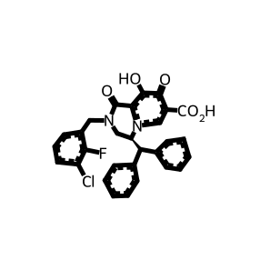 O=C(O)c1cn2c(c(O)c1=O)C(=O)N(Cc1cccc(Cl)c1F)C[C@@H]2C(c1ccccc1)c1ccccc1